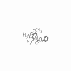 C[C@H]1[C@@H](CN)C(F)(F)[C@@H](C)CN1C(=O)OCc1ccccc1